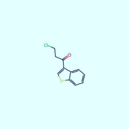 O=C(CCCl)c1csc2ccccc12